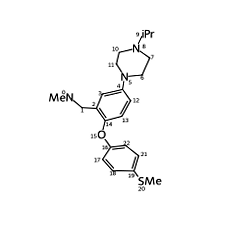 CNCc1cc(N2CCN(C(C)C)CC2)ccc1Oc1ccc(SC)cc1